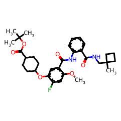 COc1cc(F)c(OC2CCC(C(=O)OC(C)(C)C)CC2)cc1C(=O)Nc1ccccc1C(=O)NCC1(C)CCC1